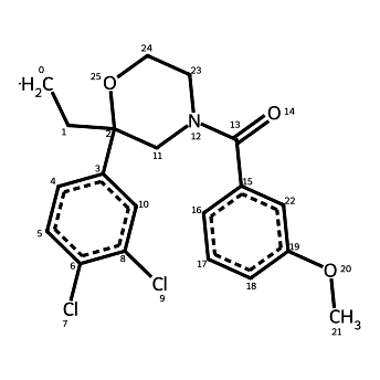 [CH2]CC1(c2ccc(Cl)c(Cl)c2)CN(C(=O)c2cccc(OC)c2)CCO1